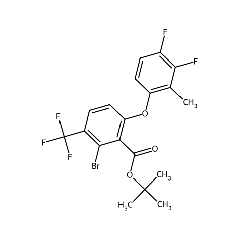 Cc1c(Oc2ccc(C(F)(F)F)c(Br)c2C(=O)OC(C)(C)C)ccc(F)c1F